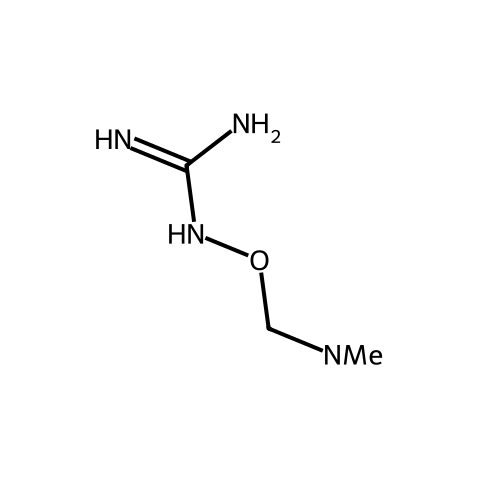 CNCONC(=N)N